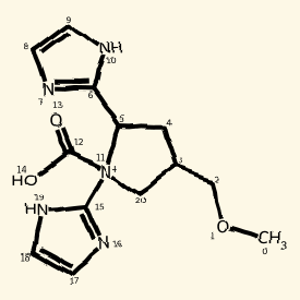 COCC1CC(c2ncc[nH]2)[N+](C(=O)O)(c2ncc[nH]2)C1